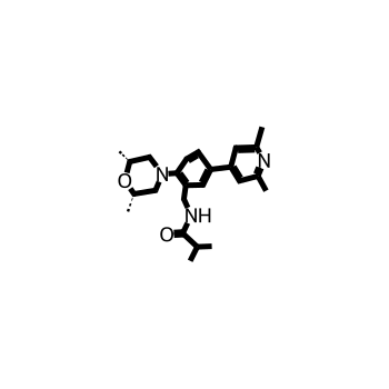 Cc1cc(-c2ccc(N3C[C@@H](C)O[C@@H](C)C3)c(CNC(=O)C(C)C)c2)cc(C)n1